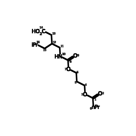 CCCC(=O)OCCCOC(=O)NCC(CC(=O)O)CC(C)C